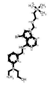 CCN(CCO)c1cccc(CNc2ncnc3c2c(Br)cn3COCC[Si](C)(C)C)n1